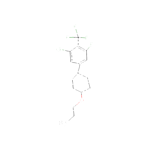 CCCOC1CCC(c2cc(F)c(C(F)(F)F)c(Cl)c2)CC1